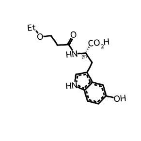 CCOCCC(=O)N[C@@H](Cc1c[nH]c2ccc(O)cc12)C(=O)O